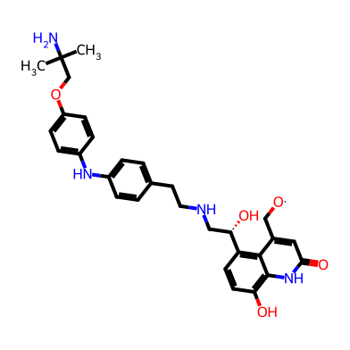 CC(C)(N)COc1ccc(Nc2ccc(CCNC[C@H](O)c3ccc(O)c4[nH]c(=O)cc(C[O])c34)cc2)cc1